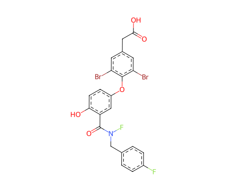 O=C(O)Cc1cc(Br)c(Oc2ccc(O)c(C(=O)N(F)Cc3ccc(F)cc3)c2)c(Br)c1